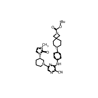 Cn1ccn([C@@H]2CCCN(c3cnc(C#N)c(Nc4ccc(N5CCC6(CC5)CN(C(=O)OC(C)(C)C)C6)cc4)n3)C2)c1=O